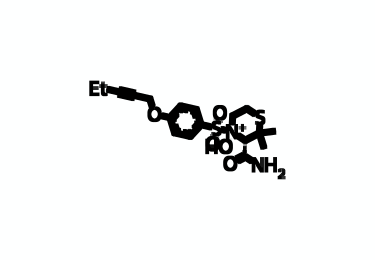 CCC#CCOc1ccc(S(=O)(=O)[N+]2(O)CCSC(C)(C)[C@@H]2C(N)=O)cc1